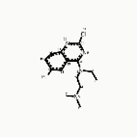 CCN(CCN(C)C)c1nc(Cl)nc2ccc(F)cc12